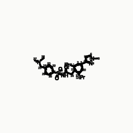 CC(C)c1cc(-c2ccn(C)n2)cc(C(C)C)c1CC(=O)NS(=O)(=O)c1ccc(CN(C)C)cc1